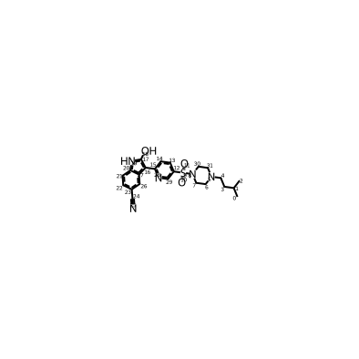 CC(C)CCN1CCN(S(=O)(=O)c2ccc(-c3c(O)[nH]c4ccc(C#N)cc34)nc2)CC1